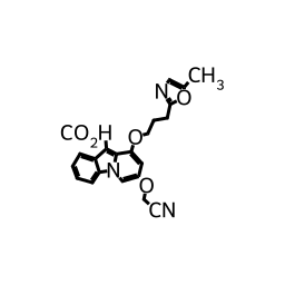 Cc1cnc(CCCOc2cc(OCC#N)cn3c2c(C(=O)O)c2ccccc23)o1